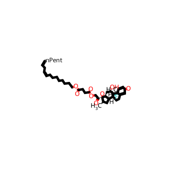 CCCCC/C=C\C/C=C\CCCCCCCCOC(=O)CCC(=O)OCC(=O)[C@]12O[C@@]13C[C@H](O)[C@@]1(F)[C@@H](CCC4=CC(=O)C=C[C@@]41C)[C@@H]3C[C@H]2C